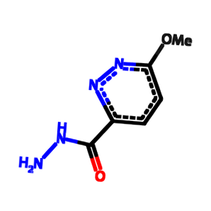 COc1ccc(C(=O)NN)nn1